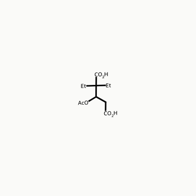 CCC(CC)(C(=O)O)C(CC(=O)O)OC(C)=O